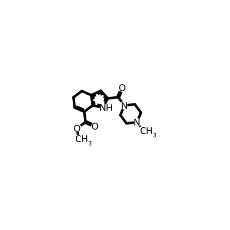 COC(=O)C1=CCCc2cc(C(=O)N3CCN(C)CC3)[nH]c21